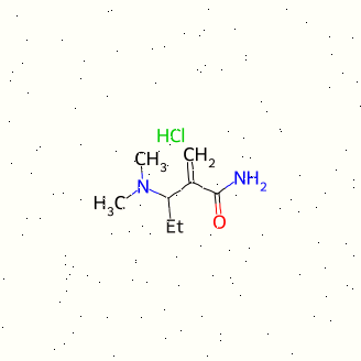 C=C(C(N)=O)C(CC)N(C)C.Cl